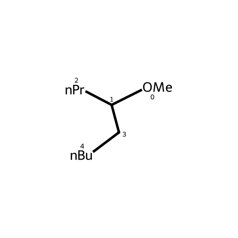 [CH2]OC(CCC)CCCCC